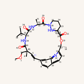 COC[C@@]1(C)/C=C/c2ccc3ccc(nc3c2)[C@@H](C)OC(=O)[C@@H]2CCCN(N2)C(=O)[C@H](C)NC(=O)[C@H](C(C)C)NC1=O